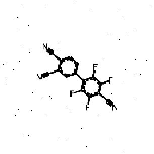 N#Cc1ccc(-c2c(F)c(F)c(C#N)c(F)c2F)cc1C#N